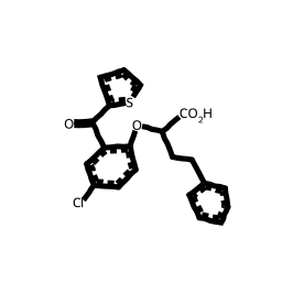 O=C(c1cccs1)c1cc(Cl)ccc1OC(CCc1ccccc1)C(=O)O